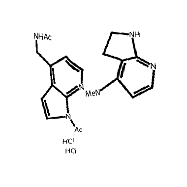 CC(=O)NCc1ccnc2c1ccn2C(C)=O.CNc1ccnc2c1CCN2.Cl.Cl